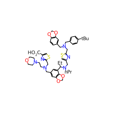 CCCN(Cc1csc(CN(Cc2ccc(C(C)(C)C)cc2)Cc2ccc3c(c2)OCO3)n1)C(CC)c1cc(CN(CCN2CCOCC2)Cc2nc(C(=O)O)cs2)cc2c1OCO2